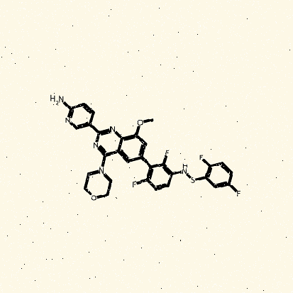 COc1cc(-c2c(F)ccc(NSc3cc(F)ccc3F)c2F)cc2c(N3CCOCC3)nc(-c3ccc(N)nc3)nc12